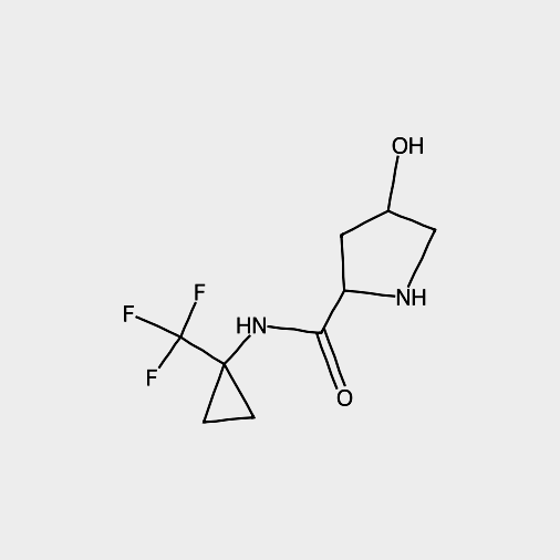 O=C(NC1(C(F)(F)F)CC1)C1CC(O)CN1